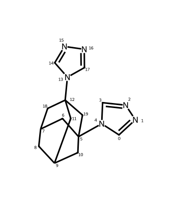 c1nncn1C12CC3CC(C1)CC(n1cnnc1)(C3)C2